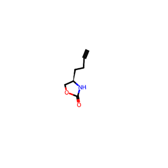 C#CCC[C@@H]1COC(=O)N1